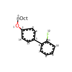 CCCCCCCCOc1ccc(-c2ccccc2F)cc1